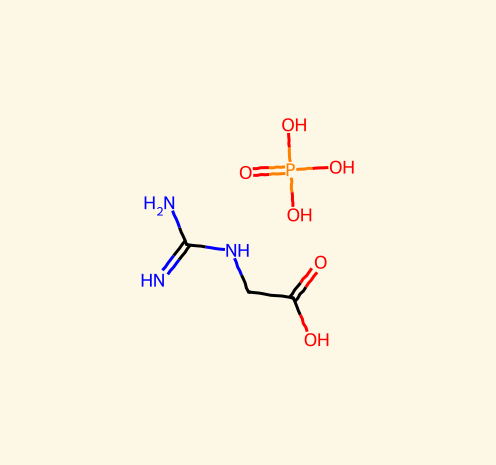 N=C(N)NCC(=O)O.O=P(O)(O)O